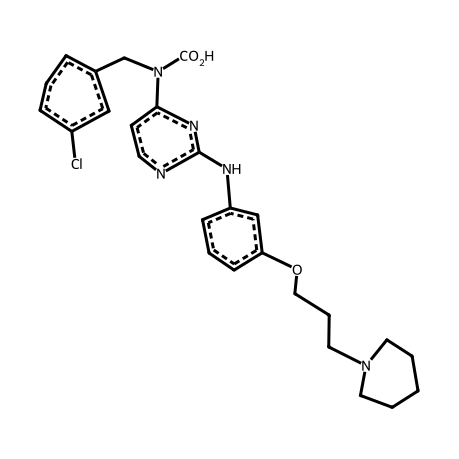 O=C(O)N(Cc1cccc(Cl)c1)c1ccnc(Nc2cccc(OCCCN3CCCCC3)c2)n1